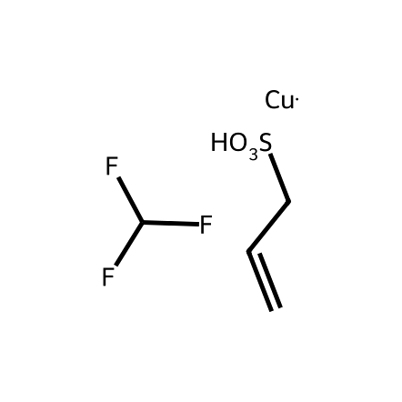 C=CCS(=O)(=O)O.FC(F)F.[Cu]